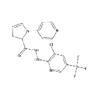 O=C(NNc1ncc(C(F)(F)F)cc1Cl)C1CC=CN1c1ccncc1